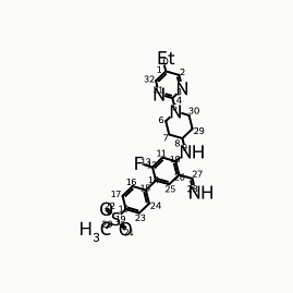 CCc1cnc(N2CCC(Nc3cc(F)c(-c4ccc(S(C)(=O)=O)cc4)cc3C=N)CC2)nc1